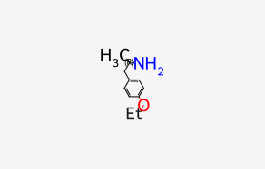 CCOc1ccc(C[C@@H](C)N)cc1